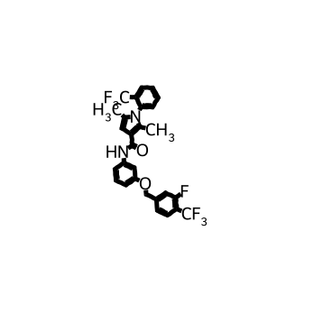 Cc1cc(C(=O)Nc2cccc(OCc3ccc(C(F)(F)F)c(F)c3)c2)c(C)n1-c1ccccc1C(F)(F)F